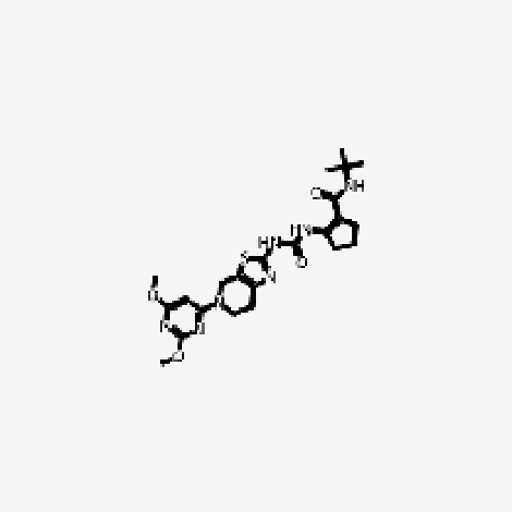 COc1cc(N2CCc3nc(NC(=O)NC4=C(C(=O)NC(C)(C)C)CCC4)sc3C2)nc(OC)n1